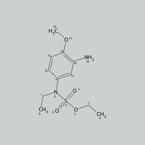 CCOS(=O)(=O)N(CC)c1ccc(OC)c(N)c1